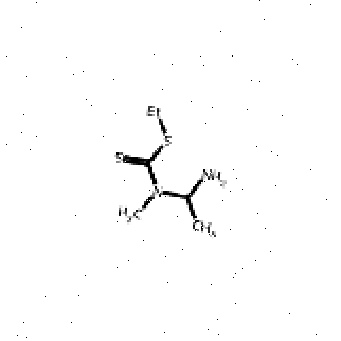 CCSC(=S)N(C)C(C)N